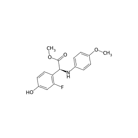 COC(=O)[C@@H](Nc1ccc(OC)cc1)c1ccc(O)cc1F